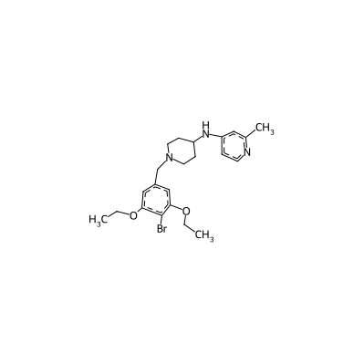 CCOc1cc(CN2CCC(Nc3ccnc(C)c3)CC2)cc(OCC)c1Br